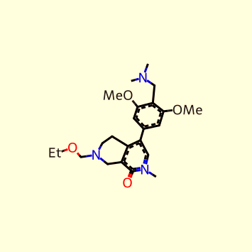 CCOCN1CCc2c(-c3cc(OC)c(CN(C)C)c(OC)c3)cn(C)c(=O)c2C1